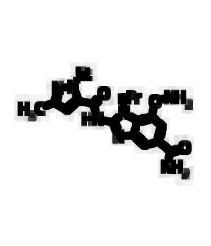 CCCn1c(NC(=O)c2cc(C)nn2CC)nc2cc(C(N)=O)cc(ON)c21